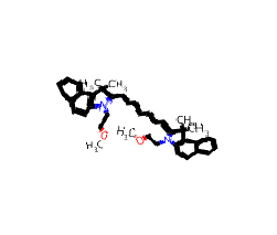 COCCN1\C(=C/C=C/C=C/C=C/C2=[N+](CCOC)c3ccc4ccccc4c3C2(C)C)C(C)(C)c2c1ccc1ccccc21